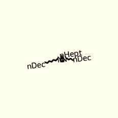 CCCCCCCCCCCCCCCCCN1C=CN(CCCCCCCCCCCCCC)C1CCCCCCC